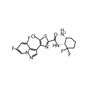 N[C@@H]1CCCC(F)(F)[C@@H]1NC(=O)c1nc(-c2cnn3cc(F)cc(F)c23)c(Cl)s1